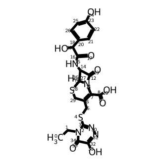 CCn1c(SCC2=C(C(=O)O)N3C(=O)C(NC(=O)C(O)c4ccc(O)cc4)[C@@H]3SC2)nnc(O)c1=O